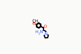 COc1ccc(C(=O)[C@@H](N)CN2CCCC2)cc1